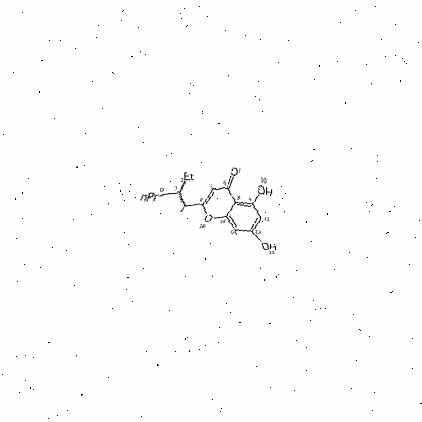 CCCC(CC)Cc1cc(=O)c2c(O)cc(O)cc2o1